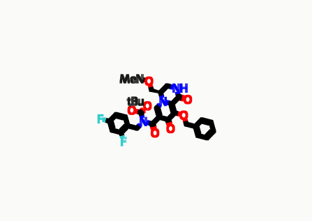 CNOC[C@H]1CNC(=O)c2c(OCc3ccccc3)c(=O)c(C(=O)N(Cc3ccc(F)cc3F)C(=O)OC(C)(C)C)cn21